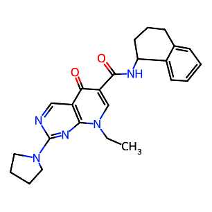 CCn1cc(C(=O)NC2CCCc3ccccc32)c(=O)c2cnc(N3CCCC3)nc21